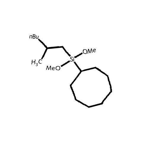 CCCCC(C)C[Si](OC)(OC)C1CCCCCCC1